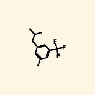 Cc1cc(CC(C)C)cc(C(F)(F)F)c1